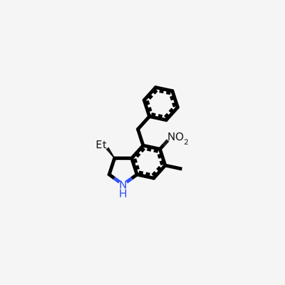 CC[C@@H]1CNc2cc(C)c([N+](=O)[O-])c(Cc3ccccc3)c21